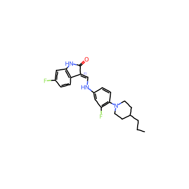 CCCC1CCN(c2ccc(N/C=C3/C(=O)Nc4cc(F)ccc43)cc2F)CC1